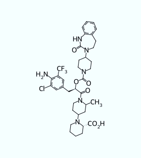 CC1CC(N2CCCC[C@H]2C(=O)O)CCN1C(=O)[C@@H](Cc1cc(Cl)c(N)c(C(F)(F)F)c1)OC(=O)N1CCC(N2CCc3ccccc3NC2=O)CC1